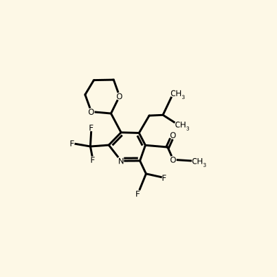 COC(=O)c1c(C(F)F)nc(C(F)(F)F)c(C2OCCCO2)c1CC(C)C